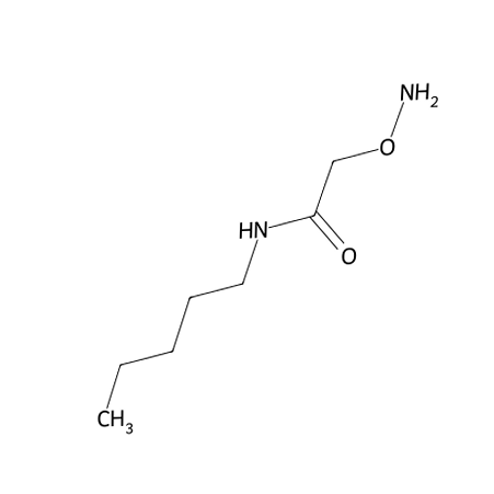 CCCCCNC(=O)CON